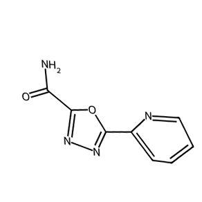 NC(=O)c1nnc(-c2ccccn2)o1